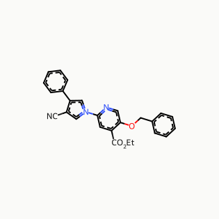 CCOC(=O)c1cc(-n2cc(C#N)c(-c3ccccc3)c2)ncc1OCc1ccccc1